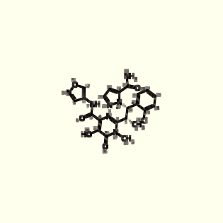 C[C@H](c1nc(C(=O)Nc2cnoc2)c(O)c(=O)n1C)[C@@H](c1ccccc1Cl)n1nccc1C(N)=O